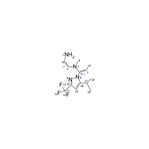 C/C=C(\N(C)/C=C\N)n1nc(C(F)(F)F)cc1C(C)C